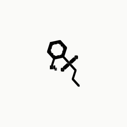 Bc1ccccc1S(=O)(=O)CCC